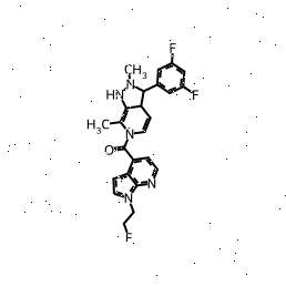 CC1=C2NN(C)C(c3cc(F)cc(F)c3)C2C=CN1C(=O)c1ccnc2c1ccn2CCF